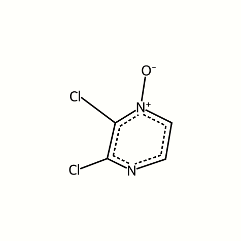 [O-][n+]1ccnc(Cl)c1Cl